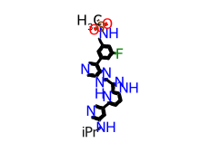 CC(C)Nc1cncc(-c2ccc3[nH]nc(-c4nc5c(-c6cc(F)cc(CNS(C)(=O)=O)c6)cncc5[nH]4)c3n2)c1